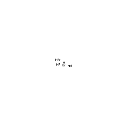 Br.Br.F.[Nd]